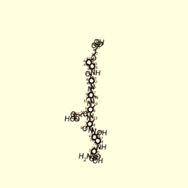 COc1cc(N=Nc2cc(C)c(N=Nc3c(C)cc(N=Nc4ccc(C(=O)Nc5ccc6c(OCCCCS(=O)(=O)O)cccc6c5)cc4)cc3C)cc2OCCCS(=O)(=O)O)c(C)cc1N=Nc1ccc2cc(Nc3ccc(N)c(S(=O)(=O)O)c3)ccc2c1O